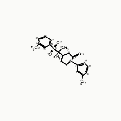 CC(C)(C1CCN(c2cc(C(F)(F)F)ccn2)C(=O)C1)S(=O)(=O)c1cccc(C(F)(F)F)c1